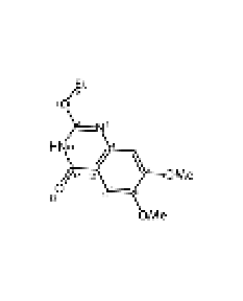 CCOc1nc2cc(OC)c(OC)cc2c(=O)[nH]1